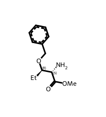 CC[C@@H](OCc1ccccc1)[C@H](N)C(=O)OC